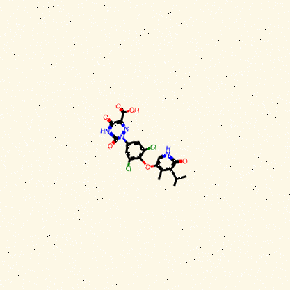 Cc1c(Oc2c(Cl)cc(-n3nc(C(=O)O)c(=O)[nH]c3=O)cc2Cl)c[nH]c(=O)c1C(C)C